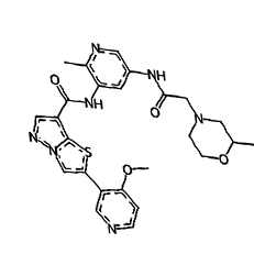 COc1ccncc1-c1cn2ncc(C(=O)Nc3cc(NC(=O)CN4CCOC(C)C4)cnc3C)c2s1